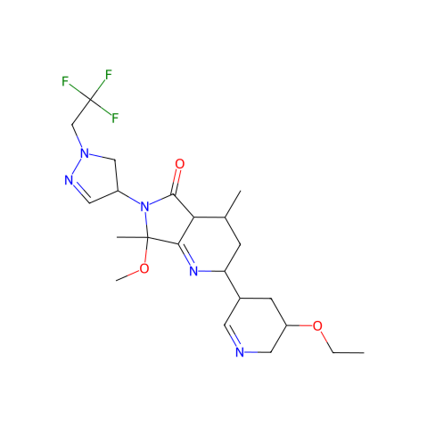 CCOC1CN=CC(C2CC(C)C3C(=O)N(C4C=NN(CC(F)(F)F)C4)C(C)(OC)C3=N2)C1